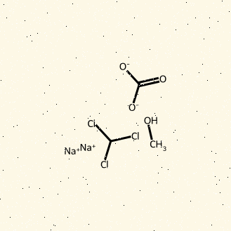 CO.ClC(Cl)Cl.O=C([O-])[O-].[Na+].[Na+]